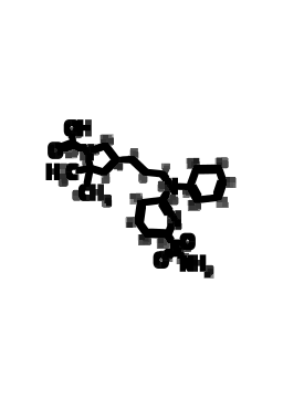 CC1(C)C[C@H](CCCN(c2ccccc2)c2cccc(S(N)(=O)=O)n2)CN1C(=O)O